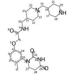 Cc1ccc(OCC(=O)NCC2CCN(CC3CCNCC3)CC2)cc1N1CCC(=O)NC1=O